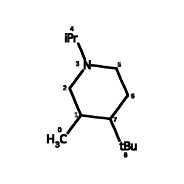 CC1CN(C(C)C)CCC1C(C)(C)C